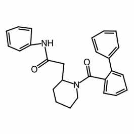 O=C(CC1CCCCN1C(=O)c1ccccc1-c1ccccc1)Nc1ccccc1